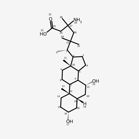 C[C@@H](C1CCC2C3C(CC[C@@]21C)[C@@]1(C)CC[C@@H](O)C[C@H]1C[C@H]3O)C(C)(C)CC(C)(N)CC(=O)O